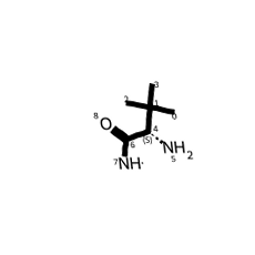 CC(C)(C)[C@H](N)C([NH])=O